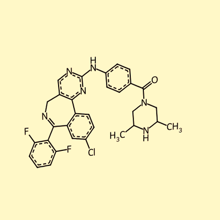 CC1CN(C(=O)c2ccc(Nc3ncc4c(n3)-c3ccc(Cl)cc3C(c3c(F)cccc3F)=NC4)cc2)CC(C)N1